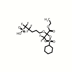 CCOC(=O)C(OCCCC(F)(F)C(F)(F)S(=O)(=O)O)(OS(=O)(=O)C1CCCCC1)C(F)(F)F